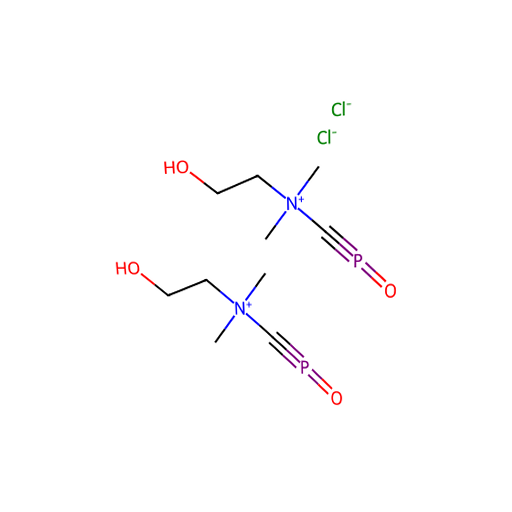 C[N+](C)(C#P=O)CCO.C[N+](C)(C#P=O)CCO.[Cl-].[Cl-]